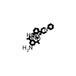 CC(C)c1cc(N)cc(C(C)C)c1NC(=O)NCC1(c2cccc(O)c2)CCN(c2ccccc2)CC1